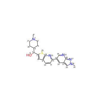 CN1CCC(C(O)c2cc3ccc(-c4cnc5nn(C)cc5c4)nc3s2)CC1